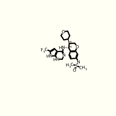 CS(C)(=O)=Nc1ccc2c(c1)OC[C@H](C1CCOCC1)[C@H]2NC1=NCNc2[nH]c(C(F)(F)F)cc21